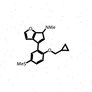 CNC1C=C(c2cc(SC)ccc2OCC2CC2)c2ccoc21